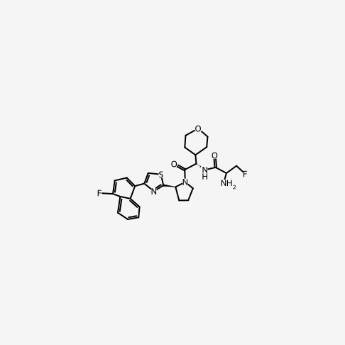 NC(CF)C(=O)N[C@H](C(=O)N1CCC[C@H]1c1nc(-c2ccc(F)c3ccccc23)cs1)C1CCOCC1